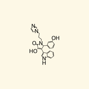 O=C1C(O)=C(c2c[nH]c3ccccc23)C(c2cccc(O)c2)N1CCCn1ccnc1